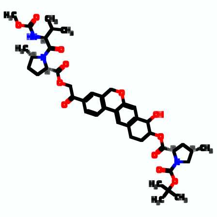 COC(=O)N[C@H](C(=O)N1[C@@H](C)CC[C@H]1C(=O)OCC(=O)c1ccc2c(c1)COc1cc3c(cc1-2)CCC(OC(=O)[C@@H]1C[C@H](C)CN1C(=O)OC(C)(C)C)C3O)C(C)C